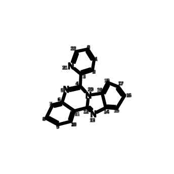 c1ccc(-c2nc3ccccc3c3nc4ccccc4n23)nc1